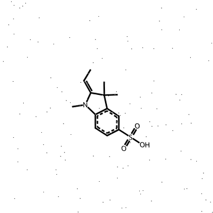 C/C=C1/N(C)c2ccc(S(=O)(=O)O)cc2C1(C)C